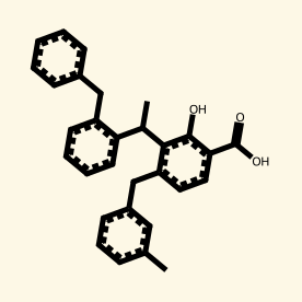 Cc1cccc(Cc2ccc(C(=O)O)c(O)c2C(C)c2ccccc2Cc2ccccc2)c1